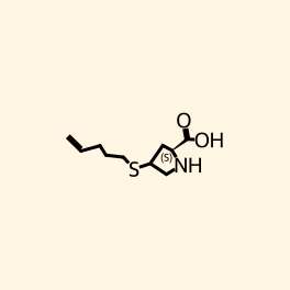 C=CCCCSC1CN[C@H](C(=O)O)C1